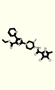 CCOC(=O)c1sc(N2CC[C@@H](NC(=O)c3[nH]c(C)c(Cl)c3Cl)[C@@H](F)C2)nc1C1=NCCC=C1